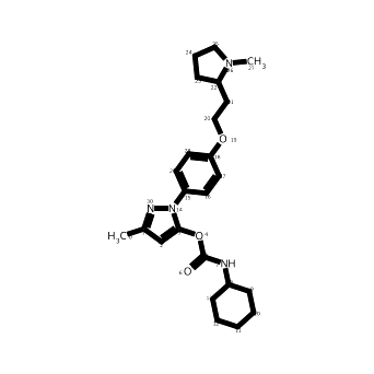 Cc1cc(OC(=O)NC2CCCCC2)n(-c2ccc(OCCC3CCCN3C)cc2)n1